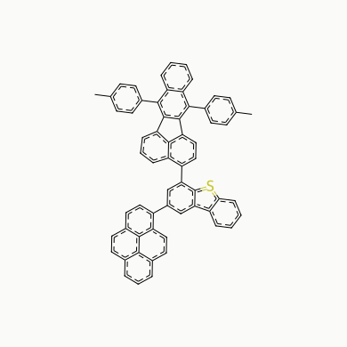 Cc1ccc(-c2c3c(c(-c4ccc(C)cc4)c4ccccc24)-c2ccc(-c4cc(-c5ccc6ccc7cccc8ccc5c6c78)cc5c4sc4ccccc45)c4cccc-3c24)cc1